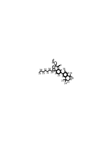 C=C(C(=O)OCC)c1cc(-c2cc3c(cc2C)C(C)(C)CCC3(C)C)ccc1OCCCCCCC